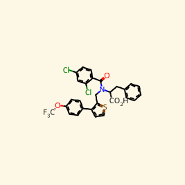 O=C(O)C(Cc1ccccc1)N(Cc1sccc1-c1ccc(OC(F)(F)F)cc1)C(=O)c1ccc(Cl)cc1Cl